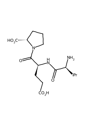 CC(C)[C@H](N)C(=O)N[C@@H](CCC(=O)O)C(=O)N1CCC[C@H]1C(=O)O